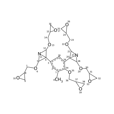 Cc1cc(C23C(OCC4CO4)N2C3OCC2CO2)cc(C23C(OCC4CO4)N2C3OCC2CO2)c1OCC1CO1